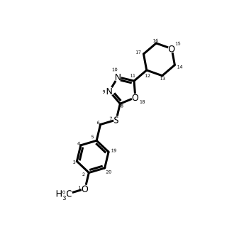 COc1ccc(CSc2nnc(C3CCOCC3)o2)cc1